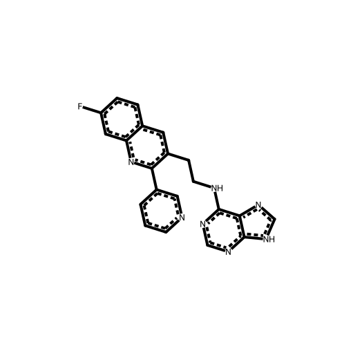 Fc1ccc2cc(CCNc3ncnc4[nH]cnc34)c(-c3cccnc3)nc2c1